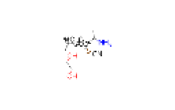 C=C(C)C(=O)O.CC(N)C(SC#N)C(=O)O.OCCO